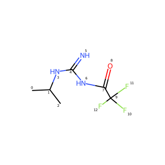 CC(C)NC(=N)NC(=O)C(F)(F)F